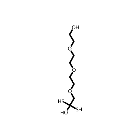 OCCOCCOCCOCC(O)(S)S